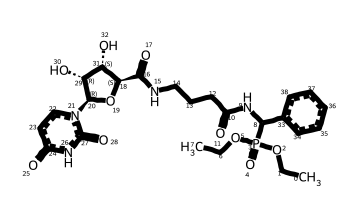 CCOP(=O)(OCC)C(NC(=O)CCCNC(=O)[C@H]1O[C@@H](n2ccc(=O)[nH]c2=O)[C@H](O)[C@@H]1O)c1ccccc1